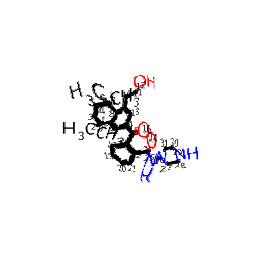 CC1(C)CCC(C)(C)c2c(CCO)cc(C(=O)c3ccccc3C(=O)NN3CCNCC3)cc21